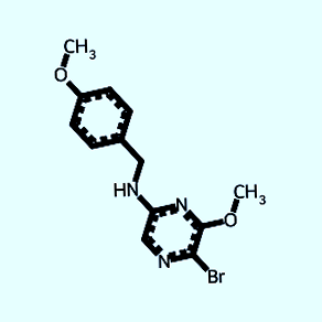 COc1ccc(CNc2cnc(Br)c(OC)n2)cc1